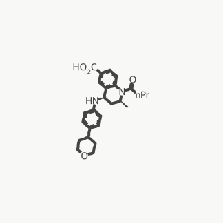 CCCC(=O)N1c2ccc(C(=O)O)cc2[C@H](Nc2ccc(C3CCOCC3)cc2)C[C@@H]1C